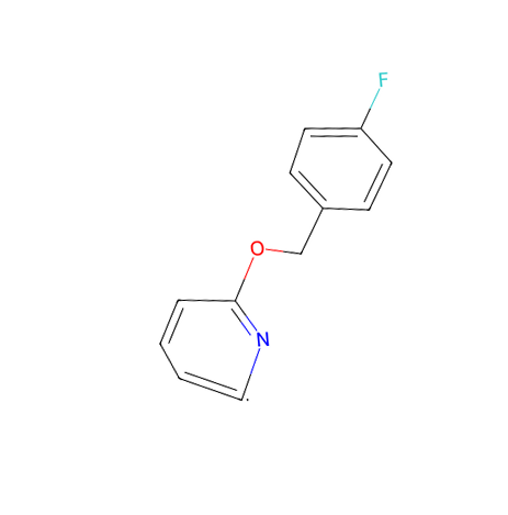 Fc1ccc(COc2ccc[c]n2)cc1